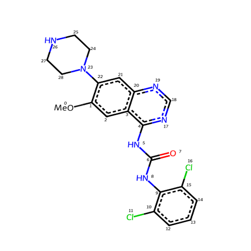 COc1cc2c(NC(=O)Nc3c(Cl)cccc3Cl)ncnc2cc1N1CCNCC1